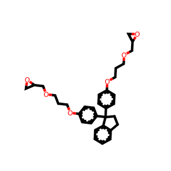 c1ccc2c(c1)CCC2(c1ccc(OCCCOCC2CO2)cc1)c1ccc(OCCCOCC2CO2)cc1